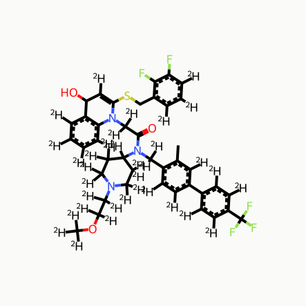 [2H]C1=C(SCc2c([2H])c([2H])c([2H])c(F)c2F)N(C([2H])([2H])C(=O)N(C([2H])([2H])c2c([2H])c([2H])c(-c3c([2H])c([2H])c(C(F)(F)F)c([2H])c3[2H])c([2H])c2C)C2([2H])C([2H])([2H])C([2H])([2H])N(C([2H])([2H])C([2H])([2H])OC([2H])([2H])[2H])C([2H])([2H])C2([2H])[2H])c2c([2H])c([2H])c([2H])c([2H])c2C1O